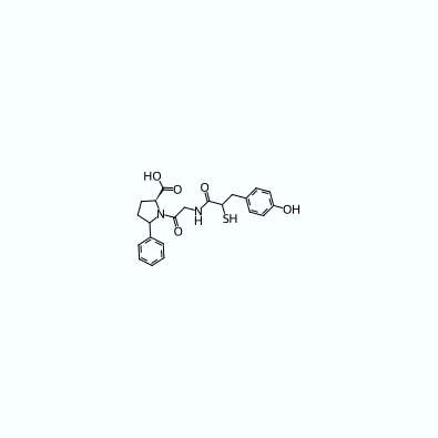 O=C(NCC(=O)N1C(c2ccccc2)CC[C@H]1C(=O)O)C(S)Cc1ccc(O)cc1